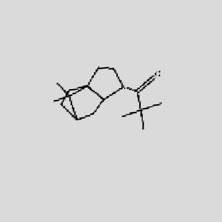 CC(C)(C)C(=O)N1CCC23CCC(CC12)C3(C)C